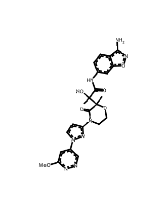 COc1cc(-n2ccc(N3CCOC(C)(C(C)(O)C(=O)Nc4ccc5c(N)noc5c4)C3=O)n2)cnn1